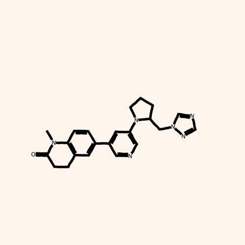 CN1C(=O)CCc2cc(-c3cncc(N4CCCC4Cn4cncn4)c3)ccc21